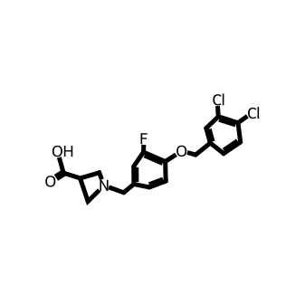 O=C(O)C1CN(Cc2ccc(OCc3ccc(Cl)c(Cl)c3)c(F)c2)C1